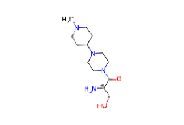 CN1CCC(N2CCN(C(=O)[C@H](N)CO)CC2)CC1